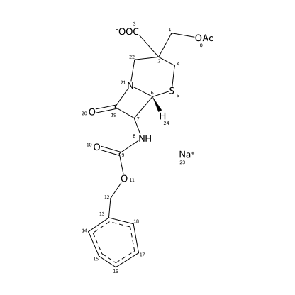 CC(=O)OCC1(C(=O)[O-])CS[C@@H]2C(NC(=O)OCc3ccccc3)C(=O)N2C1.[Na+]